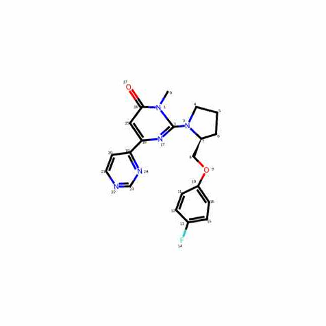 Cn1c(N2CCC[C@H]2COc2ccc(F)cc2)nc(-c2ccncn2)cc1=O